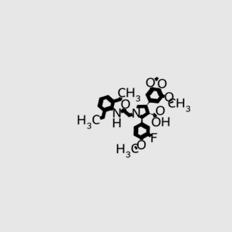 CCc1cccc(CC)c1NC(=O)CN1C[C@H](c2cc(OC)c3c(c2)OCO3)[C@H](C(=O)O)[C@H]1c1ccc(OC)c(F)c1